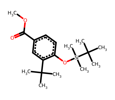 COC(=O)c1ccc(O[Si](C)(C)C(C)(C)C)c(C(C)(C)C)c1